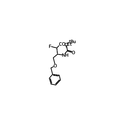 CCOC(=O)C(F)C(COCc1ccccc1)NC(=O)OC(C)(C)C